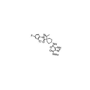 CNC(=O)c1nc[nH]c1C(=O)N[C@H]1CC[C@@]2(CC1)C(=O)N(c1ccc(F)cc1Cl)N=C2C